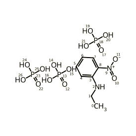 CCNc1ccccc1[N+](=O)[O-].O=P(O)(O)O.O=P(O)(O)O.O=P(O)(O)O